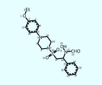 CCOc1ccc(N2CCN(S(=O)(=O)CC(c3ccccc3)N(O)C=O)CC2)cc1